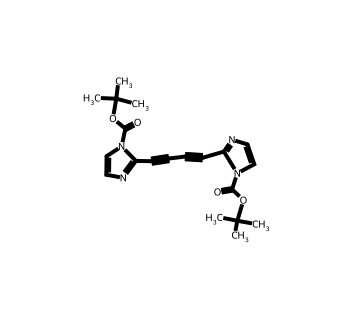 CC(C)(C)OC(=O)n1ccnc1C#CC#Cc1nccn1C(=O)OC(C)(C)C